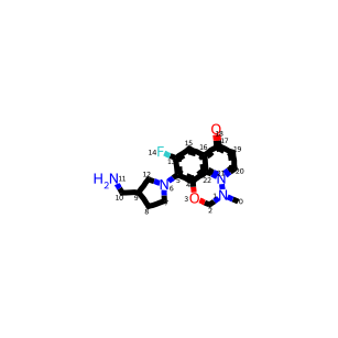 CN1COc2c(N3CCC(CN)C3)c(F)cc3c(=O)ccn1c23